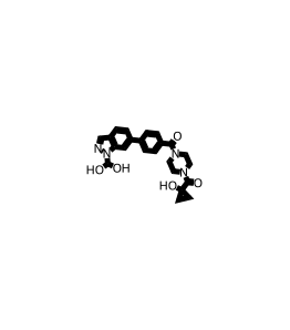 O=C(c1ccc(-c2ccc3cnn(C(O)O)c3c2)cc1)N1CCN(C(=O)C2(O)CC2)CC1